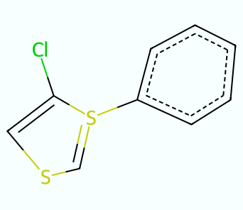 ClC1=CSC=S1c1ccccc1